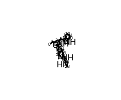 CCCC[C@@H](Cc1c[nH]c2ccccc12)NC(=O)c1cc2cnc(NCCNC)cc2s1